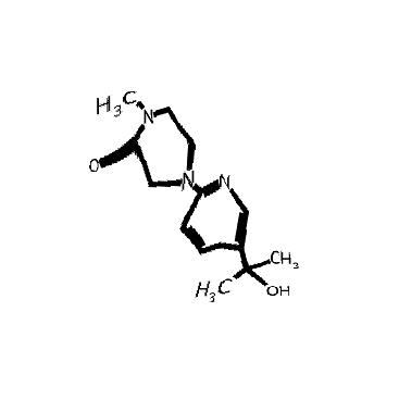 CN1CCN(c2ccc(C(C)(C)O)cn2)CC1=O